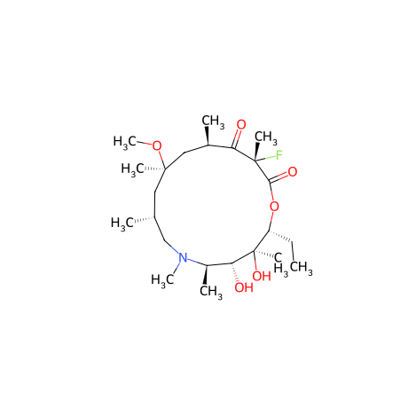 CC[C@H]1OC(=O)[C@@](C)(F)C(=O)[C@H](C)C[C@](C)(OC)C[C@@H](C)CN(C)[C@H](C)[C@@H](O)[C@]1(C)O